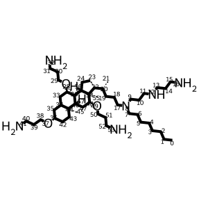 CCCCCCCCN(CCCNCCCN)CCC[C@@H](C)[C@H]1CC[C@H]2C3[C@H](OCCCN)CC4C[C@H](OCCCN)CC[C@]4(C)[C@H]3C[C@H](OCCCN)[C@]12C